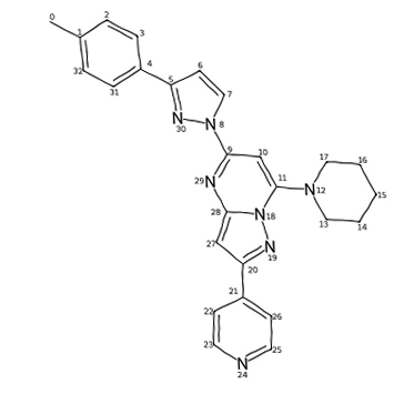 Cc1ccc(-c2ccn(-c3cc(N4CCCCC4)n4nc(-c5ccncc5)cc4n3)n2)cc1